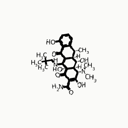 C[C@H]1c2cccc(O)c2C(=O)C2C(NCC(C)(C)C)[C@]3(O)C(=O)C(C(N)=O)=C(O)[C@@H](N(C)C)[C@@H]3[C@@H](O)[C@@H]21